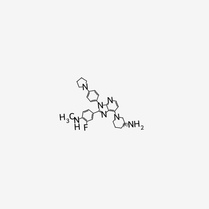 CNc1ccc(-c2nc3c(N4CCC[C@@H](N)C4)ccnc3n2-c2ccc(N3CCCC3)cc2)cc1F